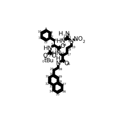 CC(C)(C)OC(=O)N[C@@H](Cc1ccccc1)C(=O)NC(CCCN(C(=N)N)[N+](=O)[O-])C(=O)NCCc1ccc2ccccc2c1